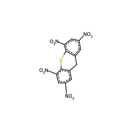 O=[N+]([O-])c1cc2c(c([N+](=O)[O-])c1)Sc1c(cc([N+](=O)[O-])cc1[N+](=O)[O-])C2